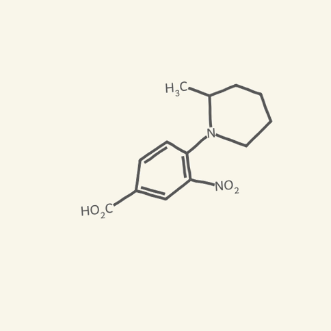 CC1CCCCN1c1ccc(C(=O)O)cc1[N+](=O)[O-]